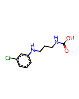 O=C(O)NCCCNc1cccc(Cl)c1